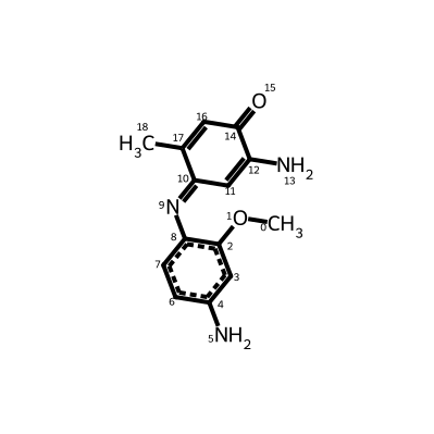 COc1cc(N)ccc1N=C1C=C(N)C(=O)C=C1C